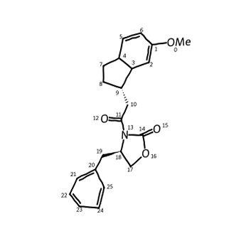 COC1=CC2C(C=C1)CC[C@H]2CC(=O)N1C(=O)OC[C@H]1Cc1ccccc1